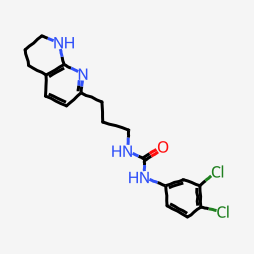 O=C(NCCCc1ccc2c(n1)NCCC2)Nc1ccc(Cl)c(Cl)c1